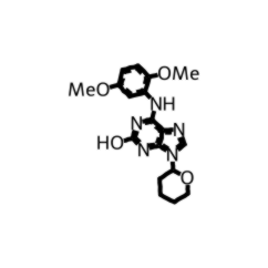 COc1ccc(OC)c(Nc2nc(O)nc3c2ncn3C2CCCCO2)c1